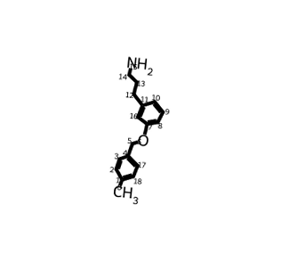 Cc1ccc(COc2cccc(CCCN)c2)cc1